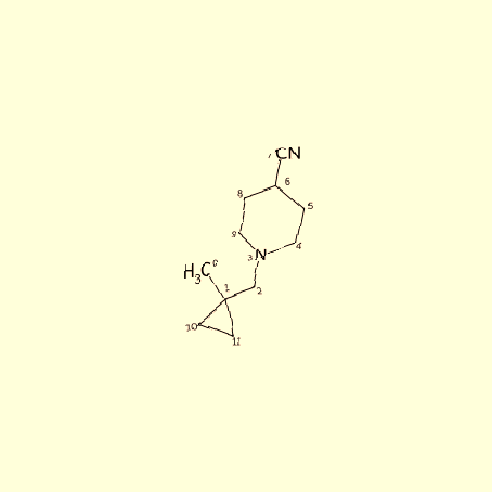 CC1(CN2CCC(C#N)CC2)CC1